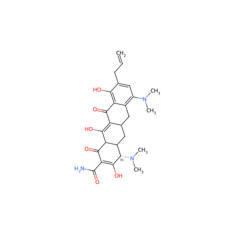 C=CCc1cc(N(C)C)c2c(c1O)C(=O)C1=C(O)C3C(=O)C(C(N)=O)=C(O)[C@@H](N(C)C)C3CC1C2